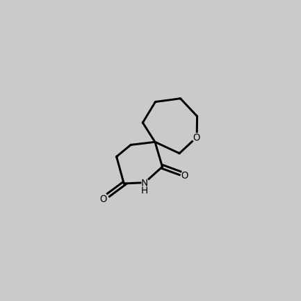 O=C1CCC2(CCCCOC2)C(=O)N1